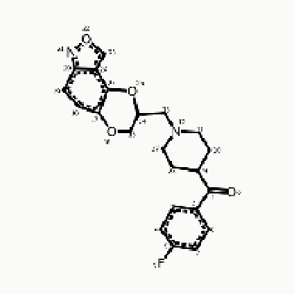 O=C(c1ccc(F)cc1)C1CCN(CC2COc3ccc4nocc4c3O2)CC1